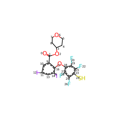 O=C(OC1CCOCC1)c1cc(I)cc(I)c1Oc1c(F)c(F)c(S)c(F)c1F